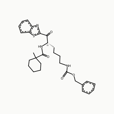 CC1(C(=O)N[C@@H](CCCCNC(=O)OCc2ccccc2)C(=O)c2nc3ccccc3s2)CCCCC1